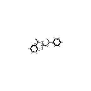 CC(O[PH](=O)OC(C)c1ccccc1)c1ccccc1